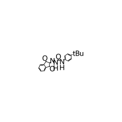 CC(C)(C)c1ccc(NC(=O)NN=c2c(=O)c3ccccc3c2=O)cc1